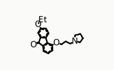 CCOc1ccc2c(c1)C(=O)c1cccc(OCCCN3CCCC3)c1-2